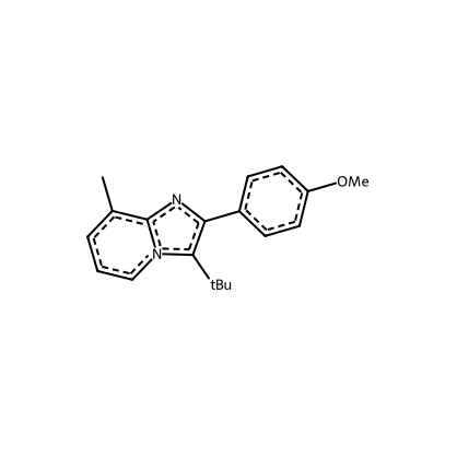 COc1ccc(-c2nc3c(C)cccn3c2C(C)(C)C)cc1